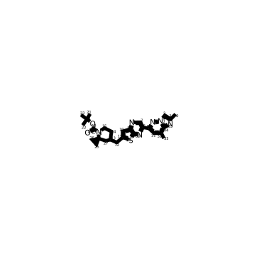 Cc1cn2nc(-c3cnc4cc(CC5CCN(C(=O)OC(C)(C)C)C6(CC6)C5)sc4n3)cc(C)c2n1